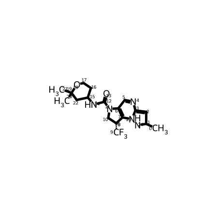 CC1C=C2N=CC3=C([C@H](C(F)(F)F)CN3C(=O)NC3CCOC(C)(C)C3)N2N1